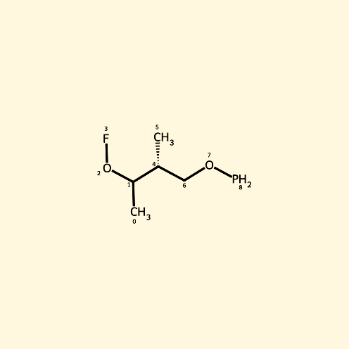 CC(OF)[C@H](C)COP